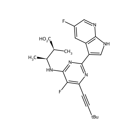 C[C@H](Nc1nc(-c2c[nH]c3ncc(F)cc23)nc(C#CC(C)(C)C)c1F)[C@H](C)C(=O)O